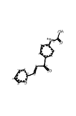 O=C(O)Nc1ccc(C(=O)C=Cc2ccccn2)cc1